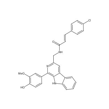 COc1cc(-c2nc(CNC(=O)/C=C/c3ccc(Cl)cc3)cc3c2[nH]c2ccccc23)ccc1O